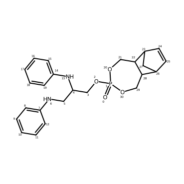 O=P1(OCC(CNc2ccccc2)Nc2ccccc2)OCC2C3C=CC(C3)C2CO1